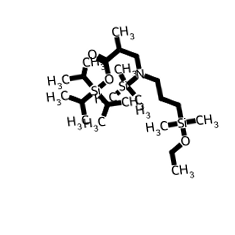 CCO[Si](C)(C)CCCN(CC(C)C(=O)O[Si](C(C)C)(C(C)C)C(C)C)[Si](C)(C)C